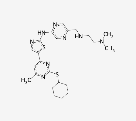 Cc1cc(-c2cnc(Nc3cnc(CNCCN(C)C)cn3)s2)nc(SC2CCCCC2)n1